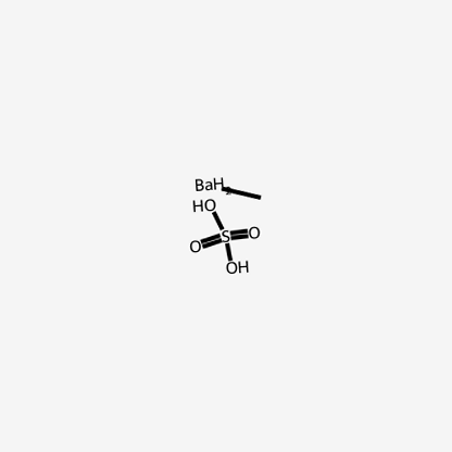 CC.O=S(=O)(O)O.[BaH2]